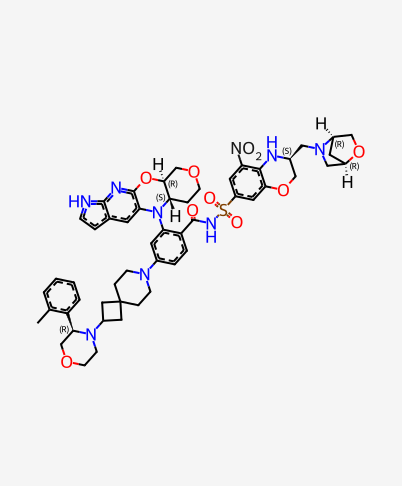 Cc1ccccc1[C@@H]1COCCN1C1CC2(CCN(c3ccc(C(=O)NS(=O)(=O)c4cc5c(c([N+](=O)[O-])c4)N[C@@H](CN4C[C@H]6C[C@@H]4CO6)CO5)c(N4c5cc6cc[nH]c6nc5O[C@H]5COCC[C@@H]54)c3)CC2)C1